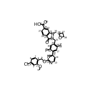 COc1cc(Cl)ccc1COc1nccc(-c2cc(F)c(Cn3c(=O)c4ccc(C(=O)O)cc4n3C[C@@H]3CCO3)cc2F)n1